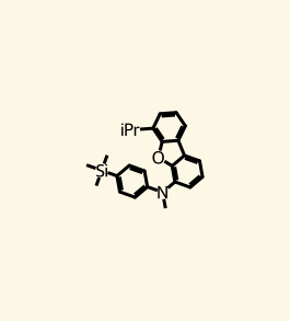 CC(C)c1cccc2c1oc1c(N(C)c3ccc([Si](C)(C)C)cc3)cccc12